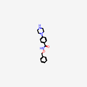 O=C(NOCc1ccccc1)c1ccc(N2CCNCC2)cc1